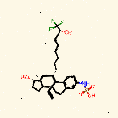 C=CC12CCc3cc(NS(=O)(=O)O)ccc3C1[C@@H](CCCCCC[C@@H](O)C(F)(F)F)C[C@@]1(C)C2CC[C@@H]1O